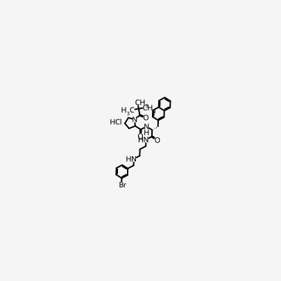 CC(C)(C)C(=O)N1CCCC1C(=O)N[C@H](Cc1ccc2ccccc2c1)C(=O)NCCCNCc1cccc(Br)c1.Cl